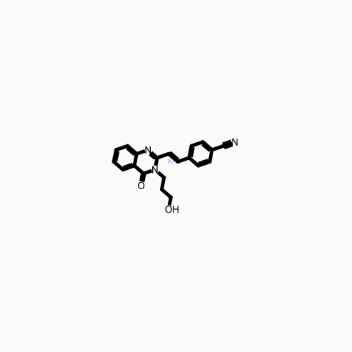 N#Cc1ccc(/C=C/c2nc3ccccc3c(=O)n2CCCO)cc1